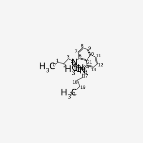 CCCCN(C)c1cccc2cccc(N(C)CCCC)c12